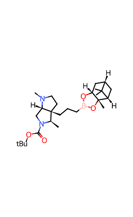 C[C@H]1N(C(=O)OC(C)(C)C)C[C@@H]2N(C)CC[C@@]21CCCB1O[C@@H]2C[C@@H]3C[C@@H](C3(C)C)[C@]2(C)O1